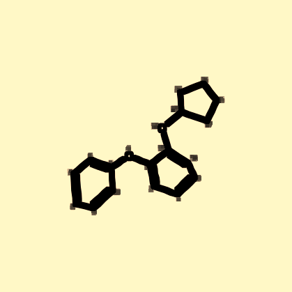 [c]1ccc(Oc2ccccc2)c(OC2CCCC2)c1